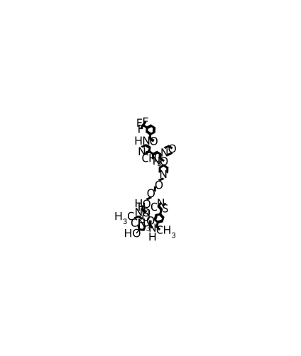 Cc1ncc(NC(=O)c2cccc(C(F)(F)F)c2)cc1-c1cnc(OC2CCN(CCOCCOCCOCC(=O)NC(C(=O)N3C[C@H](O)C[C@H]3C(=O)NC(C)c3ccc(-c4scnc4C)cc3)C(C)C)CC2)c(N2CCOCC2)c1